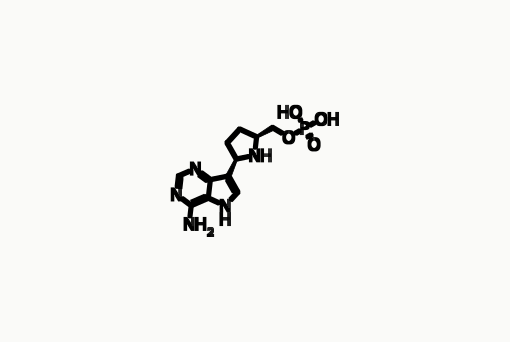 Nc1ncnc2c([C@H]3CC[C@@H](COP(=O)(O)O)N3)c[nH]c12